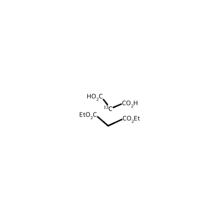 CCO[13C](=O)C[13C](=O)OCC.O=[13C](O)[13CH2][13C](=O)O